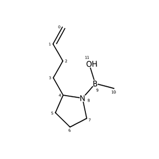 C=CCCC1CCCN1B(C)O